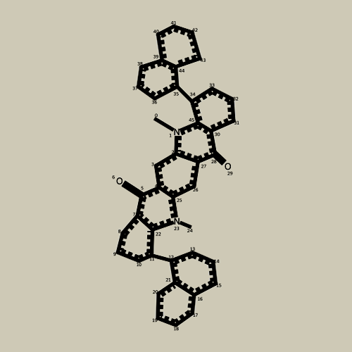 Cn1c2cc3c(=O)c4cccc(-c5cccc6ccccc56)c4n(C)c3cc2c(=O)c2cccc(-c3cccc4ccccc34)c21